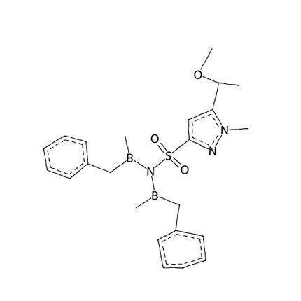 COC(C)c1cc(S(=O)(=O)N(B(C)Cc2ccccc2)B(C)Cc2ccccc2)nn1C